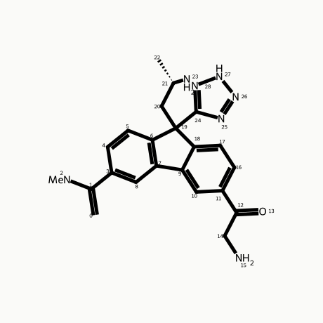 C=C(NC)c1ccc2c(c1)-c1cc(C(=O)CN)ccc1C2(C[C@H](C)N)c1nn[nH]n1